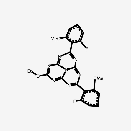 CCOC1=NC2=NC(c3c(F)cccc3OC)=NC3=NC(c4c(F)cccc4OC)=NC(=N1)N23